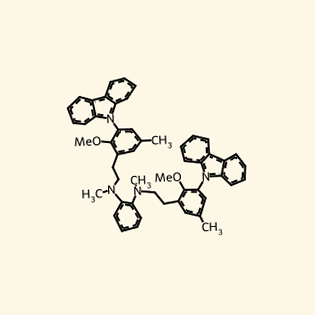 COc1c(CCN(C)c2ccccc2N(C)CCc2cc(C)cc(-n3c4ccccc4c4ccccc43)c2OC)cc(C)cc1-n1c2ccccc2c2ccccc21